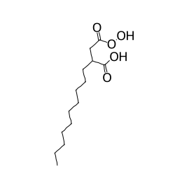 CCCCCCCCCCC(CC(=O)OO)C(=O)O